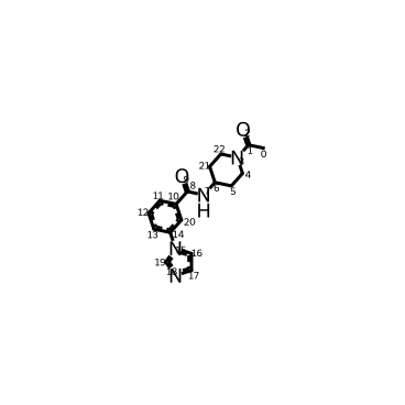 CC(=O)N1CCC(NC(=O)c2cccc(-n3ccnc3)c2)CC1